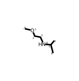 [CH2]OCCNC(C)C